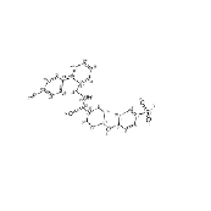 CS(=O)(=O)c1ccc(OC2CCN(C(=O)NCc3ccccc3-c3ccc(F)cc3)CC2)cc1